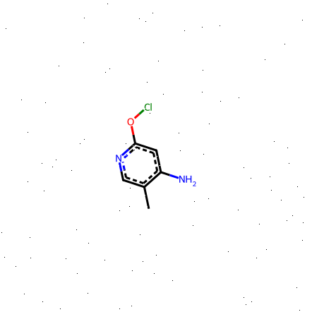 Cc1cnc(OCl)cc1N